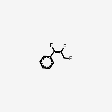 FC/C(F)=C(/F)c1ccccc1